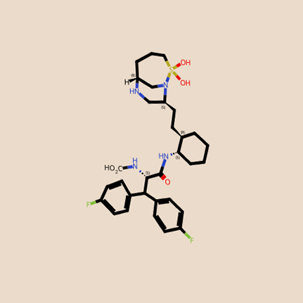 O=C(O)N[C@H](C(=O)N[C@H]1CCCC[C@@H]1CC[C@H]1CN[C@@H]2CCCS(O)(O)N1C2)C(c1ccc(F)cc1)c1ccc(F)cc1